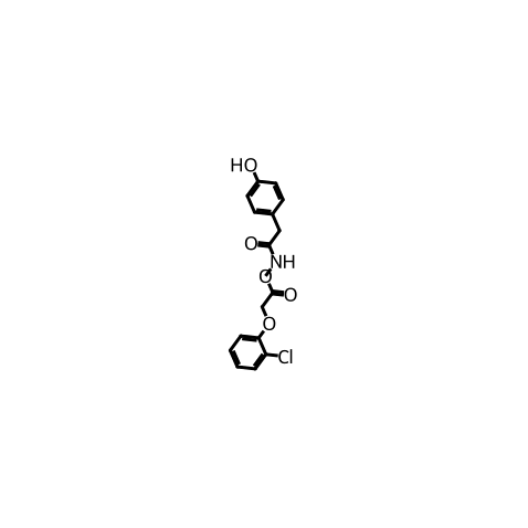 O=C(Cc1ccc(O)cc1)NOC(=O)COc1ccccc1Cl